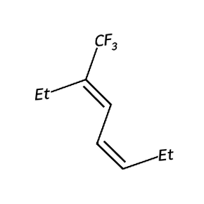 CC/C=C\C=C(/CC)C(F)(F)F